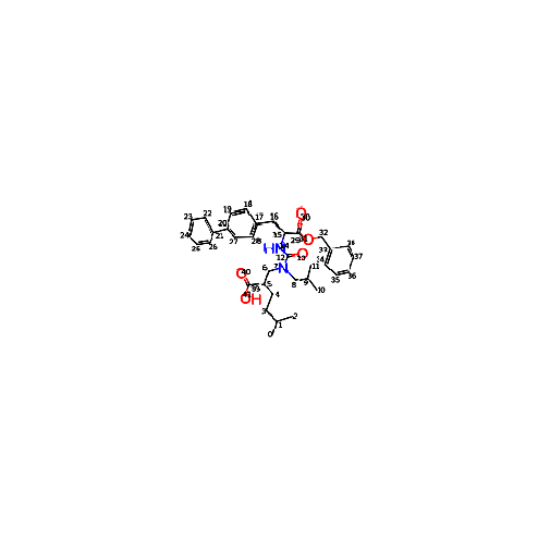 CC(C)CCC(CN(CC(C)C)C(=O)N[C@@H](Cc1ccc(-c2ccccc2)cc1)C(=O)OCc1ccccc1)C(=O)O